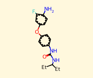 CCC(CC)NC(=O)Nc1ccc(Oc2ccc(N)c(F)c2)cc1